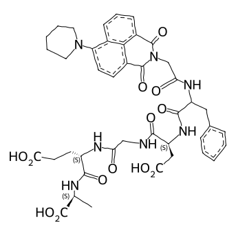 C[C@H](NC(=O)[C@H](CCC(=O)O)NC(=O)CNC(=O)[C@H](CC(=O)O)NC(=O)C(Cc1ccccc1)NC(=O)CN1C(=O)c2cccc3c(N4CCCCC4)ccc(c23)C1=O)C(=O)O